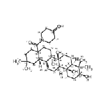 CC1(C)CC[C@]2(C(=O)N3CCC(=O)CC3)CC[C@]3(C)C(=CC[C@@H]4[C@@]5(C)CC[C@H](O)C(C)(C)[C@@H]5CC[C@]43C)[C@@H]2C1